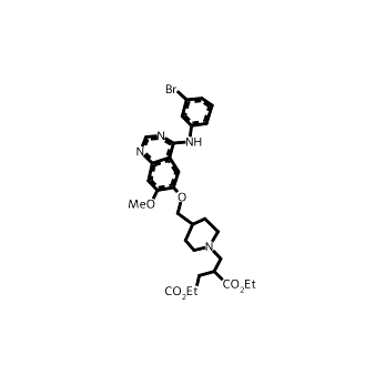 CCOC(=O)CC(CN1CCC(COc2cc3c(Nc4cccc(Br)c4)ncnc3cc2OC)CC1)C(=O)OCC